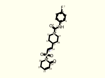 O=C(Nc1ccc(F)cc1)N1CCC(/C=C/S(=O)(=O)N2CCC=CC2=O)CC1